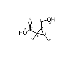 CC1C(CO)C1(C)C(=O)O